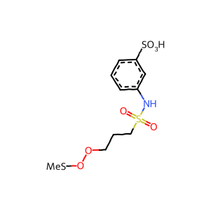 CSOOCCCS(=O)(=O)Nc1cccc(S(=O)(=O)O)c1